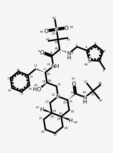 Cc1ccc(CN[C@H](C(=O)N[C@@H](Cc2ccccc2)[C@H](O)CN2C[C@H]3CCCC[C@H]3C[C@H]2C(=O)NC(C)(C)C)C(C)(C)S(C)(=O)=O)s1